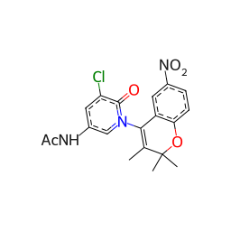 CC(=O)Nc1cc(Cl)c(=O)n(C2=C(C)C(C)(C)Oc3ccc([N+](=O)[O-])cc32)c1